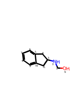 OCNC1Cc2ccccc2C1